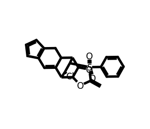 C=C1OC2C(O1)C1C3CC4=C(C=C=C4)C=C3C2C(Cl)C1S(=O)(=O)c1ccccc1